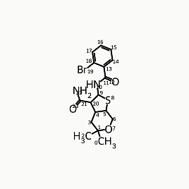 CC1(C)CC2C(CO1)SC(NC(=O)c1ccccc1Br)C2C(N)=O